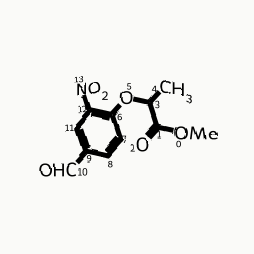 COC(=O)C(C)Oc1ccc(C=O)cc1[N+](=O)[O-]